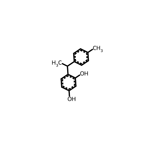 Cc1ccc(C(C)c2ccc(O)cc2O)cc1